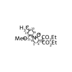 CCOC(=O)C(C(=O)OCC)c1cccn(-c2ccc(C)cc2COC)c1=O